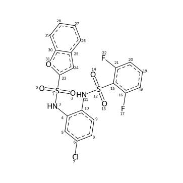 O=S(=O)(Nc1cc(Cl)ccc1NS(=O)(=O)c1c(F)cccc1F)c1cc2ccccc2o1